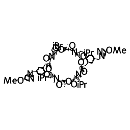 COc1cnn(Cc2cccc(C[C@H]3OC(=O)[C@H](CC(C)C)N(C)C(=O)[C@@H](C)OC(=O)[C@H](CC(C)C)N(C)C(=O)[C@@H](Cc4cccc(Cn5cc(OC)cn5)c4)OC(=O)[C@H](CC(C)C)N(C)C(=O)[C@@H](C)OC(=O)[C@H](CC(C)C)N(C)C3=O)c2)c1